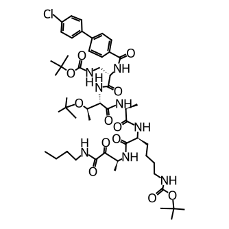 CCCCNC(=O)C(=O)[C@H](C)NC(=O)[C@H](CCCCNC(=O)OC(C)(C)C)NC(=O)[C@H](C)NC(=O)[C@@H](NC(=O)[C@H](CNC(=O)OC(C)(C)C)NC(=O)c1ccc(-c2ccc(Cl)cc2)cc1)[C@@H](C)OC(C)(C)C